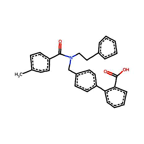 Cc1ccc(C(=O)N(CCc2ccccc2)Cc2ccc(-c3ccccc3C(=O)O)cc2)cc1